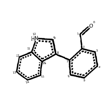 O=Cc1ccccc1-c1c[nH]c2ccccc12